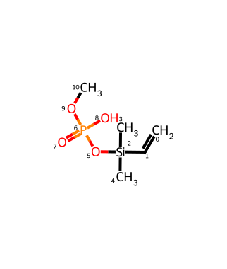 C=C[Si](C)(C)OP(=O)(O)OC